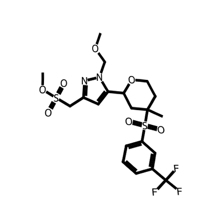 COCn1nc(CS(=O)(=O)OC)cc1C1CC(C)(S(=O)(=O)c2cccc(C(F)(F)F)c2)CCO1